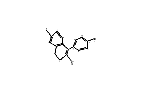 Cc1ccc2c(c1)CCC(Br)=C2c1ccc(O)cc1